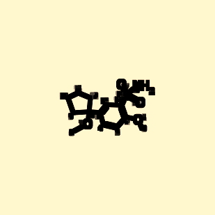 COc1ccc(C2(OC)CCCC2)cc1S(N)(=O)=O